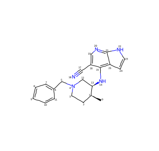 C[C@H]1CCN(Cc2ccccc2)C[C@H]1Nc1c(C#N)cnc2[nH]ccc12